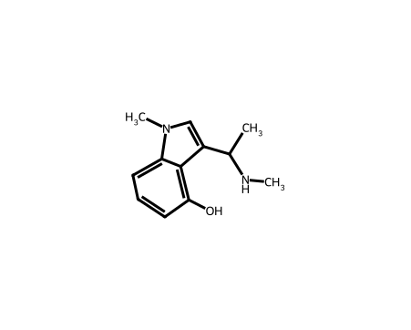 CNC(C)c1cn(C)c2cccc(O)c12